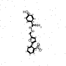 NC(=NN=Cc1ccc(-c2ccccc2[N+](=O)[O-])o1)c1ccc(O)cc1